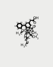 COCCOCOC1=C(c2ccccc2OC)CC(CC(=O)O)=CC1(C=O)S(=O)(=O)NC(C)(C)C